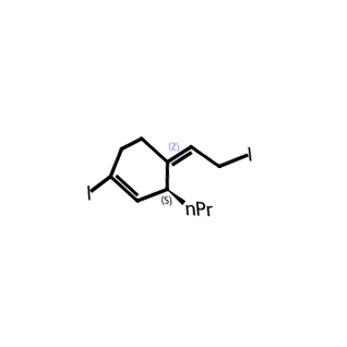 CCC[C@H]1C=C(I)CC/C1=C/CI